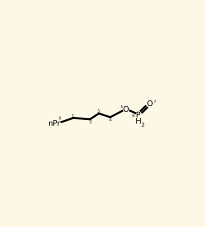 CCCCCCCO[PH2]=O